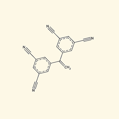 C=C(c1cc(C#N)cc(C#N)c1)c1cc(C#N)cc(C#N)c1